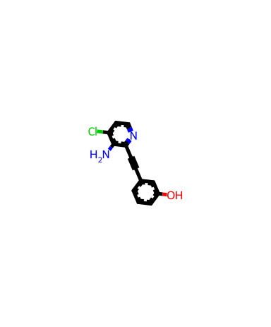 Nc1c(Cl)ccnc1C#Cc1cccc(O)c1